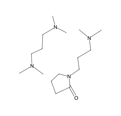 CN(C)CCCN(C)C.CN(C)CCCN1CCCC1=O